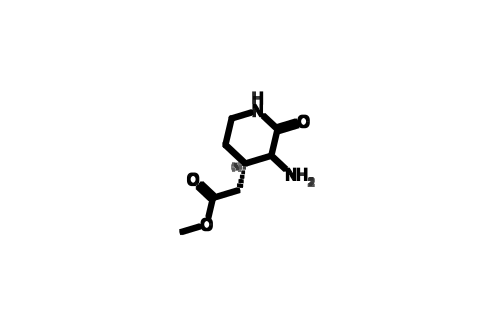 COC(=O)C[C@@H]1CCNC(=O)C1N